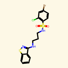 O=S(=O)(NCCCNc1nsc2ccccc12)c1ccc(Br)cc1Cl